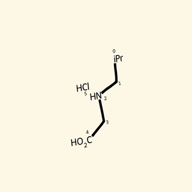 CC(C)CNCC(=O)O.Cl